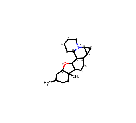 CC1CCC2(C)C(C1)OC1C3C(CCC12)C1CC1N1CCCCC31